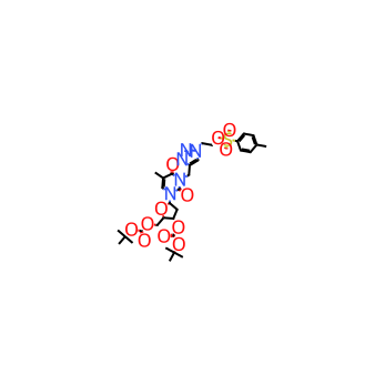 Cc1ccc(S(=O)(=O)OCCn2cc(Cn3c(=O)c(C)cn(C4C[C@H](OC(=O)OC(C)(C)C)C(COC(=O)OC(C)(C)C)O4)c3=O)nn2)cc1